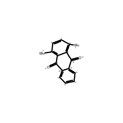 CC(C)(C)c1ccc(C(C)(C)C)c2c1C(=O)c1ccccc1C2=O